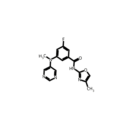 Cc1coc(NC(=O)c2cc(F)cc(N(C)c3cncnc3)c2)n1